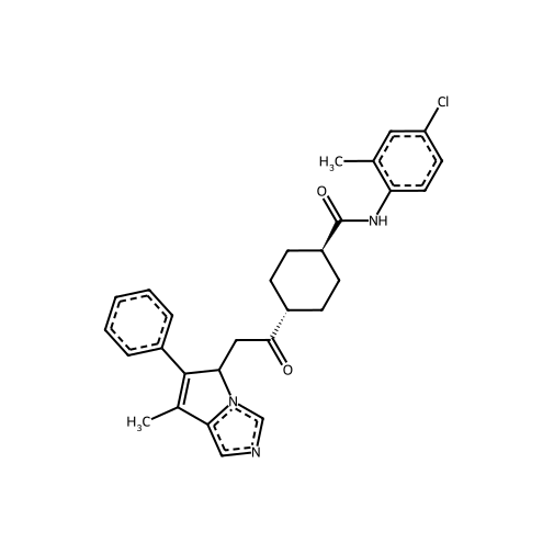 CC1=C(c2ccccc2)C(CC(=O)[C@H]2CC[C@H](C(=O)Nc3ccc(Cl)cc3C)CC2)n2cncc21